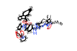 CNC(=O)c1ccccc1Nc1nc(Nc2ccc(CN(C(=O)OCC3c4ccccc4-c4ccccc43)c3ccccc3OC(=O)N3CCCCC3)cc2)ncc1C(F)(F)F